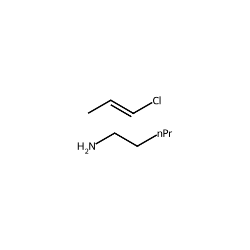 CC=CCl.CCCCCN